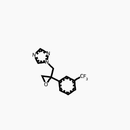 FC(F)(F)c1cccc(C2(Cn3cncn3)CO2)c1